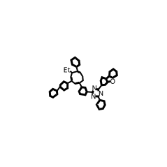 CCC1/C=C(c2ccc(-c3ccccc3)cc2)\C=C(\c2cccc(-c3nc(-c4ccccc4)nc(-c4ccc5c(c4)oc4ccccc45)n3)c2)CC/C=C\1c1ccccc1